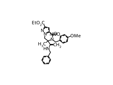 C=C(NCc1ccccc1)C1(C)Cn2nc(C(=O)OCC)cc2C(=O)N1Cc1ccc(OC)cc1OC